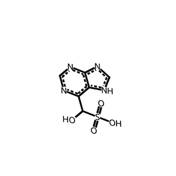 O=S(=O)(O)C(O)c1ncnc2nc[nH]c12